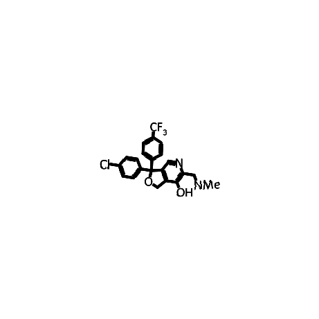 CNCc1ncc2c(c1O)COC2(c1ccc(Cl)cc1)c1ccc(C(F)(F)F)cc1